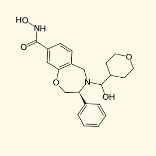 O=C(NO)c1ccc2c(c1)OC[C@H](c1ccccc1)N(C(O)C1CCOCC1)C2